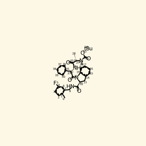 Cc1ccc(F)cc1CNC(=O)[C@@H]1Cc2ccccc2N1C(=O)[C@@H](NC(=O)[C@H](C)N(C)C(=O)OC(C)(C)C)c1ccccc1